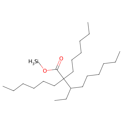 CCCCCCC(CC)C(CCCCCC)(CCCCCC)C(=O)O[SiH3]